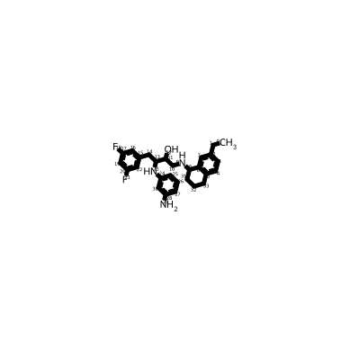 CCc1ccc2c(c1)C(NCC(O)C(Cc1cc(F)cc(F)c1)Nc1cccc(N)c1)CCC2